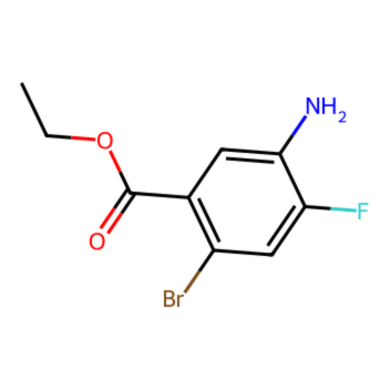 CCOC(=O)c1cc(N)c(F)cc1Br